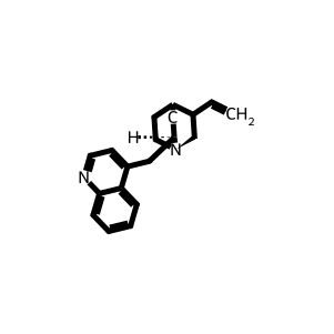 C=CC1C[N@@]2CCC1C[C@@H]2Cc1ccnc2ccccc12